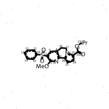 COc1nc2c(cc1S(=O)(=O)c1ccccc1)CCn1c(C(=O)OC(C)C)ccc1-2